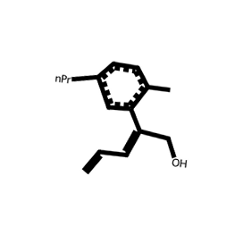 C=C/C=C(/CO)c1cc(CCC)ccc1C